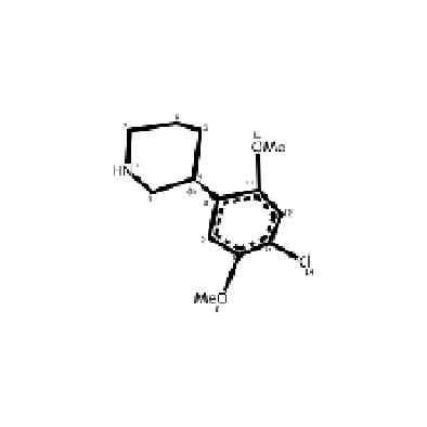 COc1cc([C@@H]2CCCNC2)c(OC)cc1Cl